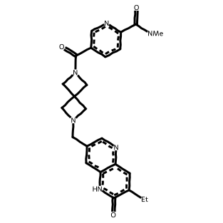 CCc1cc2ncc(CN3CC4(C3)CN(C(=O)c3ccc(C(=O)NC)nc3)C4)cc2[nH]c1=O